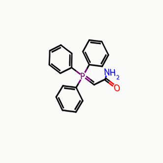 NC(=O)C=P(c1ccccc1)(c1ccccc1)c1ccccc1